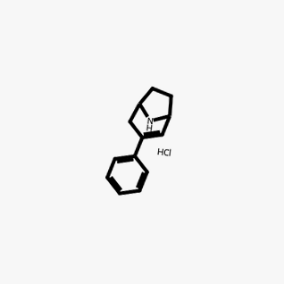 C1=C(c2ccccc2)CC2CCC1N2.Cl